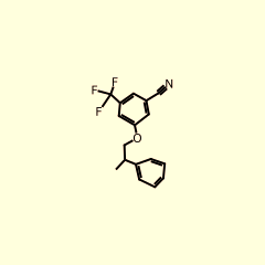 CC(COc1cc(C#N)cc(C(F)(F)F)c1)c1ccccc1